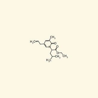 C=CCc1cc(C)c(=O)n(C(CC(C)C)C(=O)OCC)c1